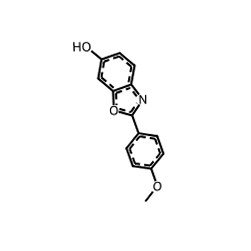 COc1ccc(-c2nc3ccc(O)cc3o2)cc1